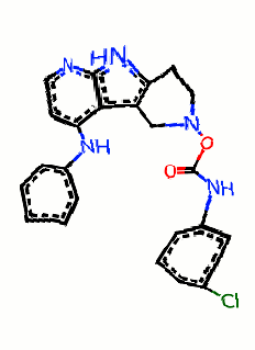 O=C(Nc1cccc(Cl)c1)ON1CCc2[nH]c3nccc(Nc4ccccc4)c3c2C1